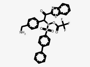 NCc1ccc(C(C(=O)c2nc3ccccc3s2)N(OC(=O)C(F)(F)F)S(=O)(=O)c2ccc(-c3ccccc3)cc2)cc1